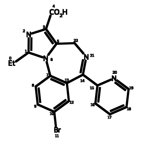 CCc1nc(C(=O)O)c2n1-c1ccc(Br)cc1C(c1ccccn1)=NC2